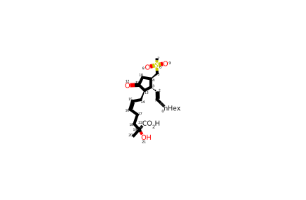 CCCCCC/C=C/[C@H]1[C@H](CS(C)(=O)=O)CC(=O)[C@@H]1C/C=C\CCC(C)(O)C(=O)O